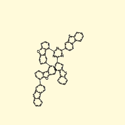 c1cc(-c2nc(-c3ccc4c(c3)sc3ccccc34)nc(-c3ccc4c(c3)sc3ccccc34)n2)c2c(c1)oc1ccc(-c3cccc4oc5c(-c6ccc7c(c6)sc6ccccc67)cccc5c34)cc12